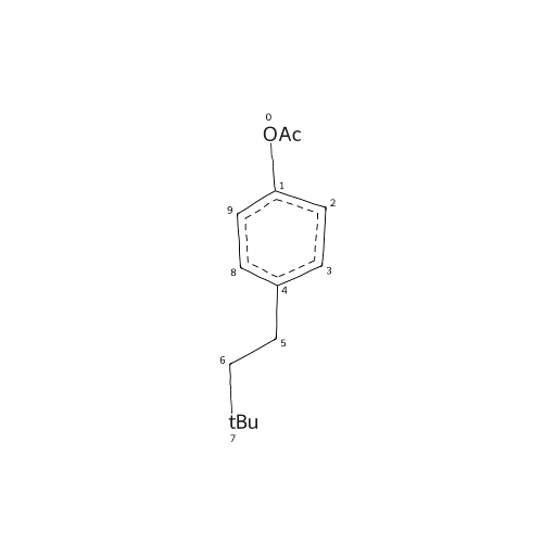 CC(=O)Oc1ccc(CCC(C)(C)C)cc1